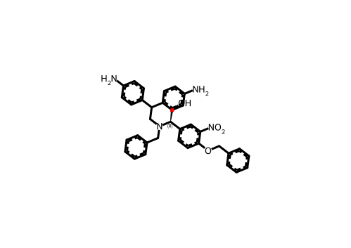 Nc1ccc(C(CN(Cc2ccccc2)[C@@H](CO)c2ccc(OCc3ccccc3)c([N+](=O)[O-])c2)c2ccc(N)cc2)cc1